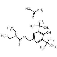 CCN(CC)C(=S)OCc1cc(C(C)(C)C)c(O)c(C(C)(C)C)c1.NC(O)=S